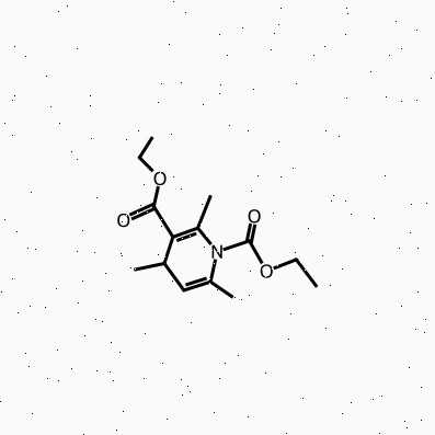 CCOC(=O)C1=C(C)N(C(=O)OCC)C(C)=CC1C